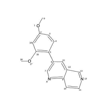 COc1ccc(-c2cnc3ccncc3c2)c(OC)c1